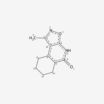 Cc1noc2[nH]c(=O)c3c(c12)CCCC3